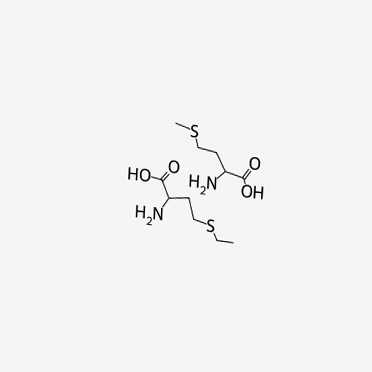 CCSCCC(N)C(=O)O.CSCCC(N)C(=O)O